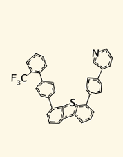 FC(F)(F)c1ccccc1-c1ccc(-c2cccc3c2sc2c(-c4ccc(-c5cccnc5)cc4)cccc23)cc1